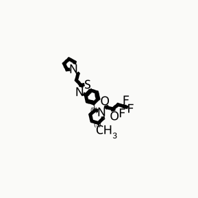 C[C@H]1CC[C@H](c2ccc3sc(CCN4CCCC4)nc3c2)N(C(=O)C(=O)CC(F)(F)F)C1